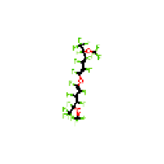 FC(OC(F)=C(F)C(F)=C(F)C(F)(OC(F)(F)F)C(F)(F)F)=C(F)C(F)=C(F)C(F)(OC(F)(F)F)C(F)(F)F